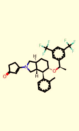 Cc1ccccc1[C@H]1[C@@H]2CN(C3=CC(=O)CC3)C[C@H]2CC[C@@H]1O[C@H](C)c1cc(C(F)(F)F)cc(C(F)(F)F)c1